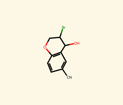 N#Cc1ccc2c(c1)C(O)C(Br)CO2